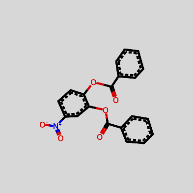 O=C(Oc1ccc([N+](=O)[O-])cc1OC(=O)c1ccccc1)c1ccccc1